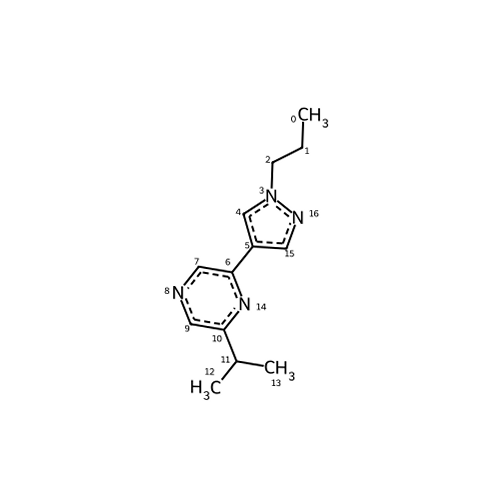 CCCn1cc(-c2cncc(C(C)C)n2)cn1